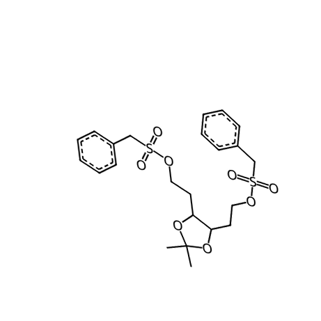 CC1(C)OC(CCOS(=O)(=O)Cc2ccccc2)C(CCOS(=O)(=O)Cc2ccccc2)O1